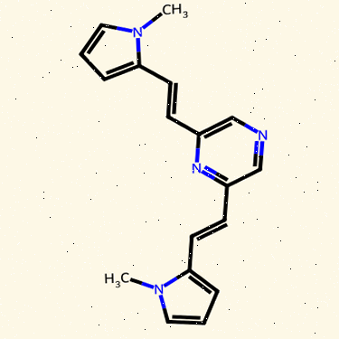 Cn1cccc1C=Cc1cncc(C=Cc2cccn2C)n1